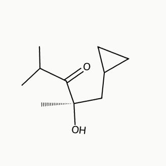 CC(C)C(=O)[C@](C)(O)CC1CC1